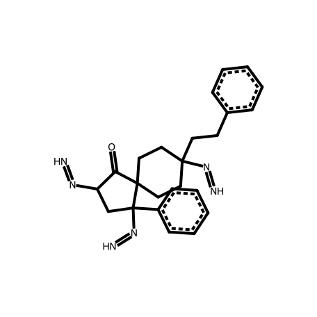 N=NC1CC(N=N)(c2ccccc2)C2(CCC(CCc3ccccc3)(N=N)CC2)C1=O